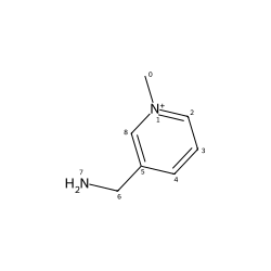 C[n+]1cccc(CN)c1